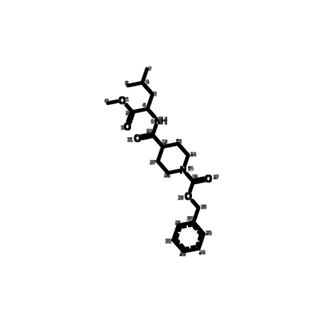 COC(=O)C(CC(C)C)NC(=O)C1CCN(C(=O)OCc2ccccc2)CC1